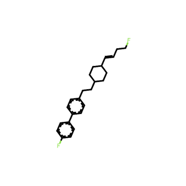 FCC/C=C/C1CCC(CCc2ccc(-c3ccc(F)cc3)cc2)CC1